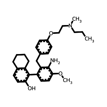 CCCN(C)CCOc1ccc(Cc2c(-c3c(O)ccc4c3CCCC4)ccc(OC)c2N)cc1